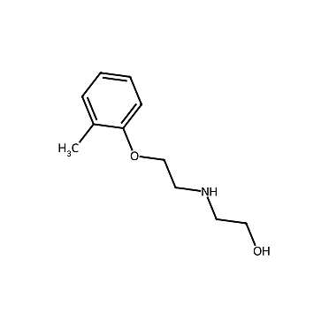 Cc1ccccc1OCCNCCO